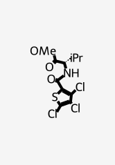 COC(=O)[C@@H](NC(=O)c1sc(Cl)c(Cl)c1Cl)C(C)C